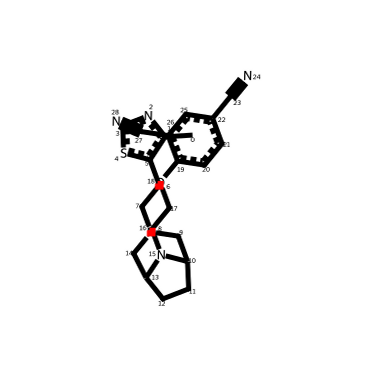 Cc1ncsc1CCN1CC2CCC(C1)N2CCOc1ccc(C#N)cc1C#N